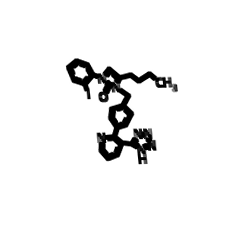 CCCCc1cn(-c2ccccc2I)c(=O)n1Cc1ccc(-c2ncccc2-c2nnn[nH]2)cc1